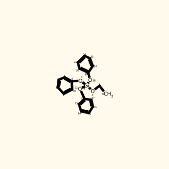 CCO[Si](Oc1ccccc1)(Oc1ccccc1)Oc1ccccc1